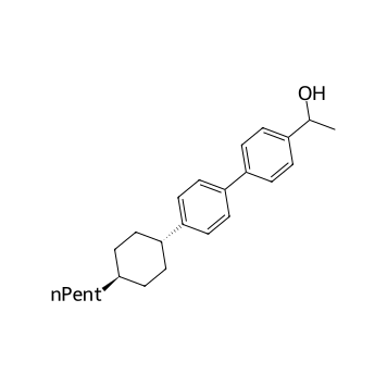 CCCCC[C@H]1CC[C@H](c2ccc(-c3ccc(C(C)O)cc3)cc2)CC1